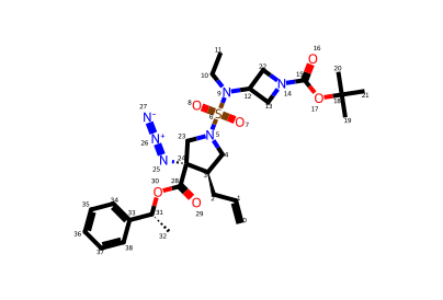 C=CC[C@@H]1CN(S(=O)(=O)N(CC)C2CN(C(=O)OC(C)(C)C)C2)C[C@]1(N=[N+]=[N-])C(=O)O[C@H](C)c1ccccc1